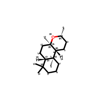 C[C@@H]1CC[C@@H]2[C@@]3(C)CCCC(C)(C)[C@@H]3CC[C@@]2(C)O1